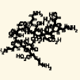 NCCCC[C@H](NC(=O)[C@H](CC(=O)O)NC(=O)[C@H](CCCCN)NC(=O)[C@H](CO)NC(=O)[C@H](CC(=O)O)NC(=O)[C@H](CCCCN)NC(=O)[C@H](CO)NC(=O)[C@H](CC(=O)O)NC(=O)[C@H](CCCCN)NC(=O)[C@@H](N)CO)C(=O)O